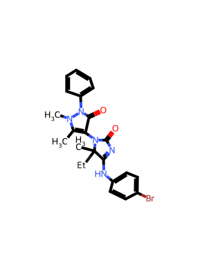 CCC1(C)C(Nc2ccc(Br)cc2)=NC(=O)N1c1c(C)n(C)n(-c2ccccc2)c1=O